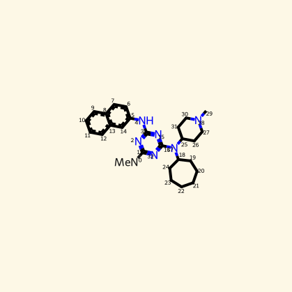 CNc1nc(Nc2ccc3ccccc3c2)nc(N(C2CCCCCC2)C2CCN(C)CC2)n1